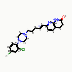 O=C1CCc2ccc(/C=C/CCCN3CCN(c4ccc(F)cc4Cl)CC3)nc2N1